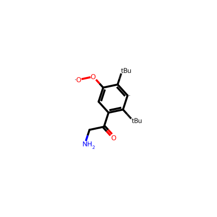 CC(C)(C)c1[c]c(C(C)(C)C)c(C(=O)CN)cc1O[O]